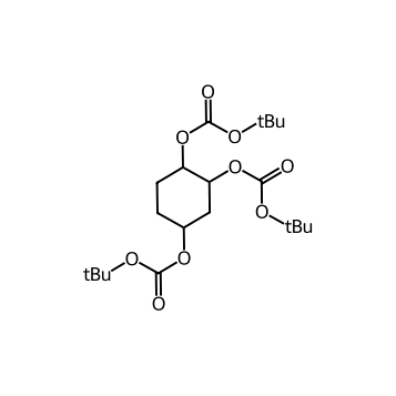 CC(C)(C)OC(=O)OC1CCC(OC(=O)OC(C)(C)C)C(OC(=O)OC(C)(C)C)C1